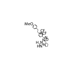 COc1ccc(CCc2ccc(-c3noc(C4CCCN4C(=N)N)n3)cc2C(F)(F)F)cc1.Cl